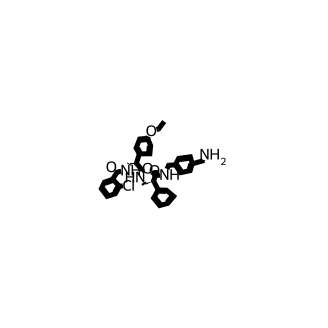 CCOc1ccc([C@@H](CNC(=O)c2ccccc2Cl)C(=O)NC[C@H](C(=O)NCc2ccc(CN)cc2)c2ccccc2)cc1